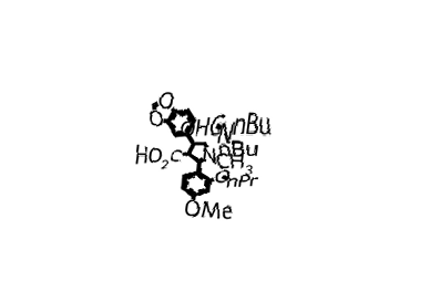 CCCCN(C=O)CCCC.CCCOc1cc(OC)ccc1C1C(C(=O)O)C(c2ccc3c(c2)OCO3)CN1C